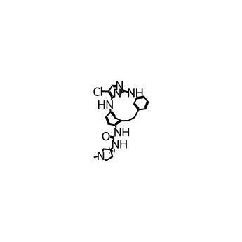 CN1CC[C@H](NC(=O)Nc2ccc3cc2CCc2cccc(c2)Nc2ncc(Cl)c(n2)N3)C1